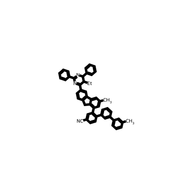 CCC1C(c2ccc3c(c2)-c2cc(C)cc(-c4cc(C#N)ccc4-c4cccc(-c5cccc(C)c5)c4)c2C3)=NC(c2ccccc2)=NC1c1ccccc1